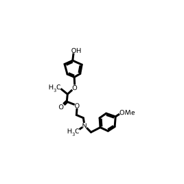 COc1ccc(CN(C)CCOC(=O)C(C)Oc2ccc(O)cc2)cc1